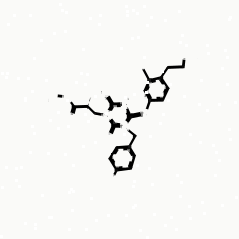 CCCc1ccc(/N=c2\n(C)c(=O)n(C[C@H](C)C(=O)OC)c(=O)n2Cc2ccc(C)cc2)cc1Cl